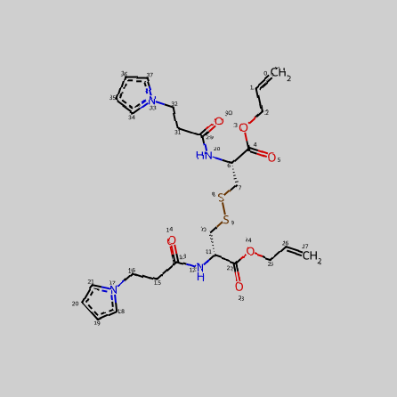 C=CCOC(=O)[C@H](CSSC[C@@H](NC(=O)CCn1cccc1)C(=O)OCC=C)NC(=O)CCn1cccc1